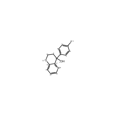 OC1(c2ccc(F)cc2)CCOc2cccnc21